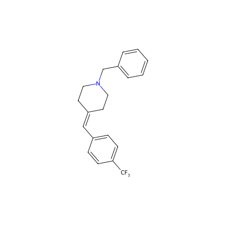 FC(F)(F)c1ccc(C=C2CCN(Cc3ccccc3)CC2)cc1